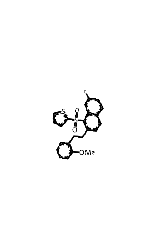 COc1ccccc1CCc1ccc2ccc(F)cc2c1S(=O)(=O)c1cccs1